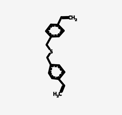 C=Cc1ccc(CSCc2ccc(C=C)cc2)cc1